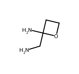 NCC1(N)CCO1